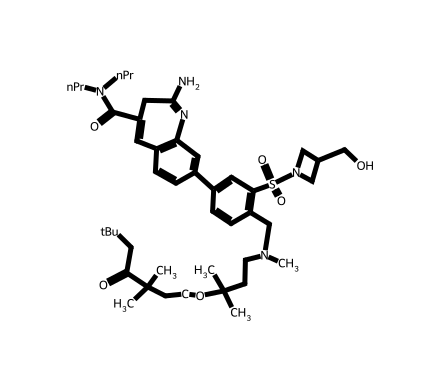 CCCN(CCC)C(=O)C1=Cc2ccc(-c3ccc(CN(C)CCC(C)(C)OCCC(C)(C)C(=O)CC(C)(C)C)c(S(=O)(=O)N4CC(CO)C4)c3)cc2N=C(N)C1